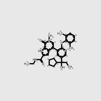 CCNC(=O)c1cc2c(-c3cc(C(O)(CC)C4CCCC4)cnc3Oc3c(C)cccc3C)cn(C)c(=O)c2[nH]1